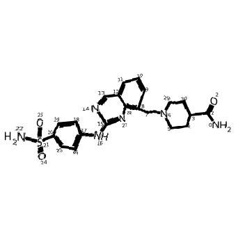 NC(=O)C1CCN(Cc2cccc3cnc(Nc4ccc(S(N)(=O)=O)cc4)nc23)CC1